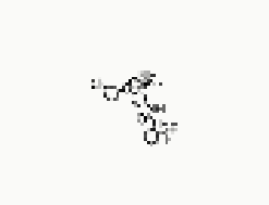 NS(=O)(=O)c1cc(NC(=O)Cc2ccccc2C(F)(F)F)ccc1Oc1cccc(Cl)c1